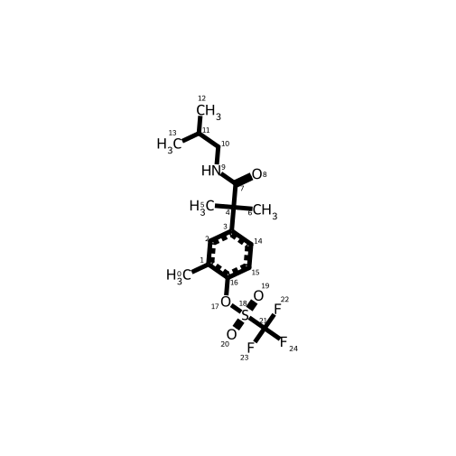 Cc1cc(C(C)(C)C(=O)NCC(C)C)ccc1OS(=O)(=O)C(F)(F)F